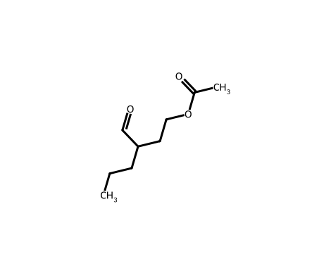 CCCC(C=O)CCOC(C)=O